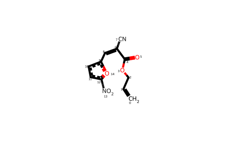 C=CCOC(=O)C(C#N)=Cc1ccc([N+](=O)[O-])o1